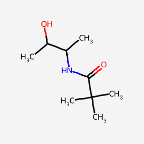 CC(O)C(C)NC(=O)C(C)(C)C